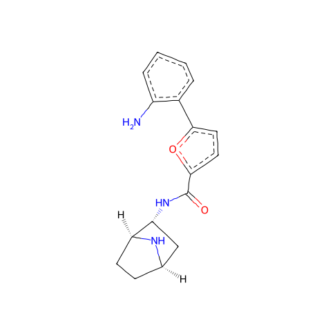 Nc1ccccc1-c1ccc(C(=O)N[C@@H]2C[C@H]3CC[C@@H]2N3)o1